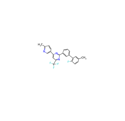 Cc1ccc(F)c(-c2cccc(-c3nc(-c4ccc(C)nc4)cc(C(F)(F)F)n3)c2)c1